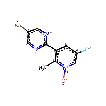 Cc1c(-c2ncc(Br)cn2)cc(F)c[n+]1[O-]